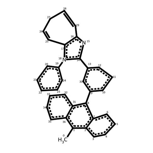 Cc1c2ccccc2c(-c2cccc(-c3nc4c(n3-c3ccccc3)C=CCC=C4)c2)c2ccccc12